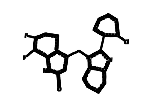 O=c1cc(Cn2c(-c3ccccc3Cl)nc3ccccc32)c2ccc(F)c(F)c2[nH]1